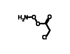 NOOC(=O)CCl